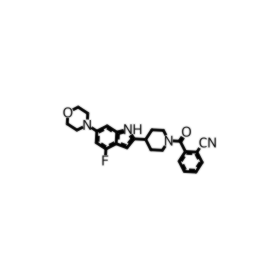 N#Cc1ccccc1C(=O)N1CCC(c2cc3c(F)cc(N4CCOCC4)cc3[nH]2)CC1